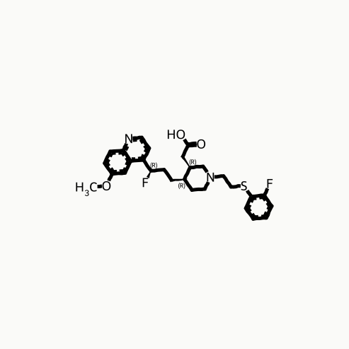 COc1ccc2nccc([C@H](F)CC[C@@H]3CCN(CCSc4ccccc4F)C[C@@H]3CC(=O)O)c2c1